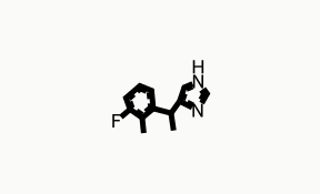 Cc1c(F)cccc1C(C)c1c[nH]cn1